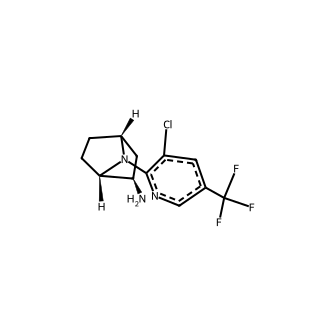 N[C@@H]1C[C@H]2CC[C@@H]1N2c1ncc(C(F)(F)F)cc1Cl